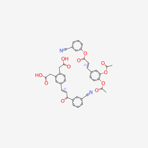 CC(=O)Oc1ccc(/C=C/C(=O)Oc2cccc(C#N)c2)cc1OC(C)=O.N#Cc1cccc(C(=O)/C=C/c2ccc(CC(=O)O)c(CC(=O)O)c2)c1